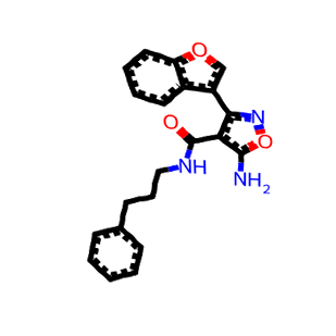 Nc1onc(-c2coc3ccccc23)c1C(=O)NCCCc1ccccc1